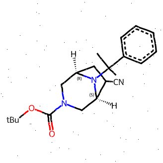 CC(C)(C)OC(=O)N1C[C@H]2CC(C#N)[C@@H](C1)N2C(C)(C)c1ccccc1